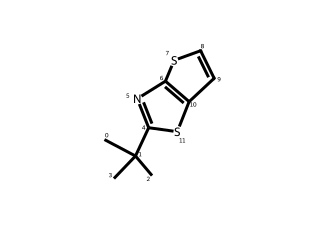 CC(C)(C)c1nc2sccc2s1